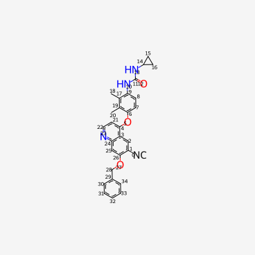 [C-]#[N+]c1cc2c(Oc3ccc(NC(=O)NC4CC4)c(C)c3C)ccnc2cc1OCc1ccccc1